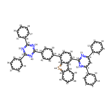 c1ccc(-c2cc(-c3ccccc3)nc(-c3ccc(-c4ccc(-c5nc(-c6ccccc6)nc(-c6ccccc6)n5)cc4)c4sc5ccccc5c34)n2)cc1